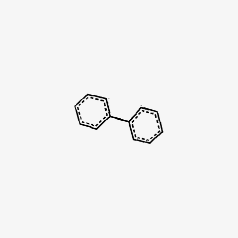 [c]1ccccc1-c1[c]cccc1